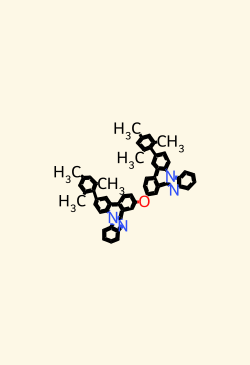 Cc1cc(C)c(-c2ccc3c(c2)c2ccc(Oc4ccc5c6cc(-c7c(C)cc(C)cc7C)ccc6n6c7ccccc7nc6c5c4)cc2c2nc4ccccc4n32)c(C)c1